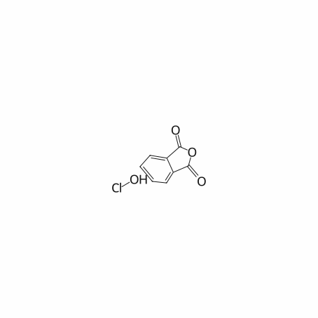 O=C1OC(=O)c2ccccc21.OCl